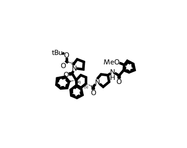 COc1ccccc1C(=O)NC1CCN(C(=O)[C@H]2CC[C@@](C(=O)N3CCC[C@H]3C(=O)OC(C)(C)C)(c3ccccc3)c3ccccc32)CC1